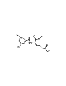 CCOC(=O)/C(=C\CCC(=O)O)NNc1cc(Br)cc(Br)c1